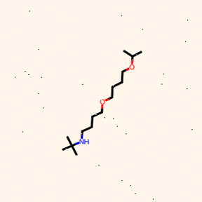 CC(C)OCCCCOCCCCNC(C)(C)C